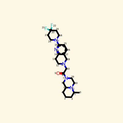 CC1CCCC2CN(C(=O)CN3CCc4nc(N5CCC(F)(F)CC5)ccc4C3)CCN12